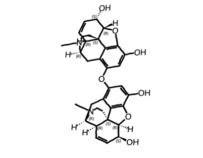 CN1CC[C@]23c4c5c(Oc6cc(O)c7c8c6C[C@@H]6[C@@H]9C=C[C@H](O)[C@H](O7)[C@]89CCN6C)cc(O)c4O[C@H]2[C@@H](O)C=C[C@H]3[C@H]1C5